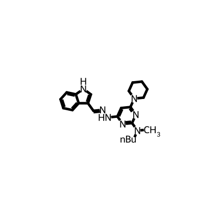 CCCCN(C)c1nc(N/N=C/c2c[nH]c3ccccc23)cc(N2CCCCC2)n1